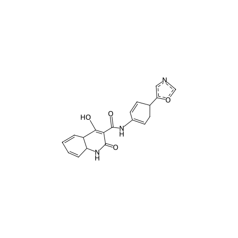 O=C(NC1=CCC(c2cnco2)C=C1)C1=C(O)C2C=CC=CC2NC1=O